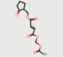 CC(C)C(=O)OCOC(=O)/C=C/C(=O)OCC1CCCC1=O